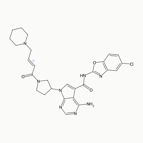 Nc1ncnc2c1c(C(=O)Nc1nc3cc(Cl)ccc3o1)cn2C1CCN(C(=O)/C=C/CN2CCCCC2)C1